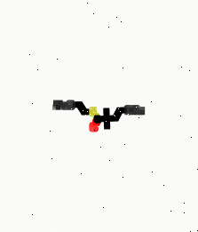 COCCSC(=O)C(C)(C)CCOCC(C)C